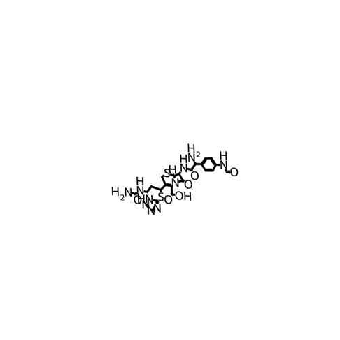 NC(=O)NCCC(Sc1nnn[nH]1)C1=C(C(=O)O)N2C(=O)C(NC(=O)C(N)c3ccc(NC=O)cc3)[C@@H]2SC1